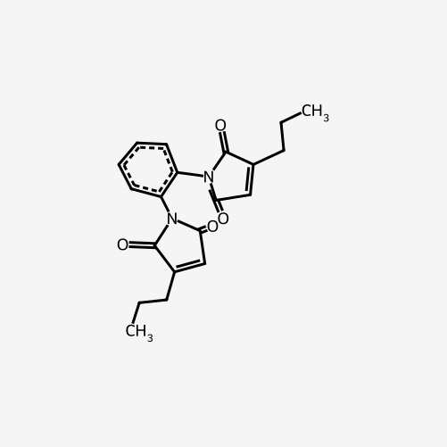 CCCC1=CC(=O)N(c2ccccc2N2C(=O)C=C(CCC)C2=O)C1=O